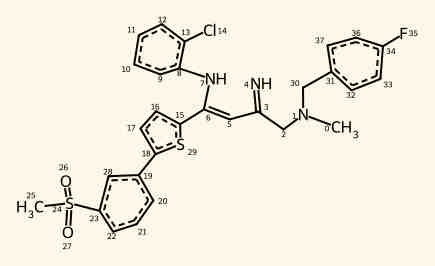 CN(CC(=N)/C=C(\Nc1ccccc1Cl)c1ccc(-c2cccc(S(C)(=O)=O)c2)s1)Cc1ccc(F)cc1